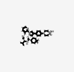 CC(C)[C@@H](C#N)NC(=O)[C@@H]1CCC(F)(F)C[C@H]1c1nn(-c2ncccc2F)cc1-c1ccc(N2CCS(=N)(=O)CC2)cc1